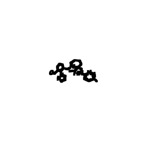 CCC1(CNc2ccc(C)nn2)CCCCN1Cc1cccc(C=O)c1-n1cccn1